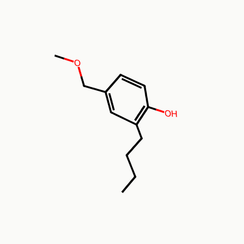 CCCCc1cc(COC)ccc1O